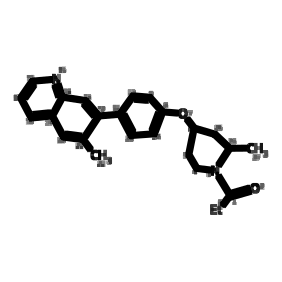 CCC(=O)N1CCC(Oc2ccc(-c3cc4ncccc4cc3C)cc2)CC1C